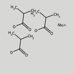 CC(C)C(=O)[O-].CC(C)C(=O)[O-].CC(C)C(=O)[O-].[Mn+3]